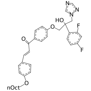 CCCCCCCCOc1ccc(C=CC(=O)c2ccc(OCC(O)(Cn3cncn3)c3ccc(F)cc3F)cc2)cc1